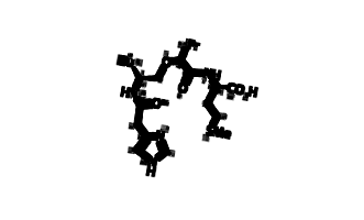 CC[C@H](C)[C@@H](COC(C(=O)N[C@@H](CCSC)C(=O)O)C(C)C)NC(=O)Cc1c[nH]cn1